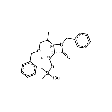 CC(COCc1ccccc1)[C@@H]1[C@@H]([C@@H](C)O[Si](C)(C)C(C)(C)C)C(=O)N1Cc1ccccc1